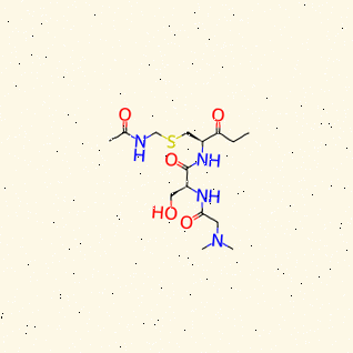 CCC(=O)[C@H](CSCNC(C)=O)NC(=O)[C@H](CO)NC(=O)CN(C)C